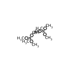 Cc1ccc(N(c2ccc(OBOc3ccc(N(c4ccc(C)cc4)c4ccc(C)cc4C)cc3)cc2)c2ccc(C)cc2C)cc1